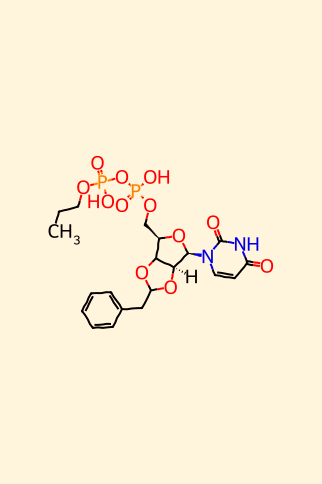 CCCOP(=O)(O)OP(=O)(O)OC[C@H]1O[C@@H](n2ccc(=O)[nH]c2=O)[C@H]2OC(Cc3ccccc3)OC12